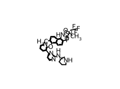 Cc1ccc2c(NS(=O)(=O)N(C)CC(F)(F)F)c(F)ccc2c1Oc1ncccc1-c1ccnc(N[C@H]2CCCNC2)n1